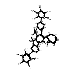 CC1(C)c2cc(-c3c(F)c(F)c(F)c(F)c3F)ccc2-c2c1c1c(c3c2oc2ccccc23)-c2ccc(-c3c(F)c(F)c(F)c(F)c3F)cc2C1(C)C